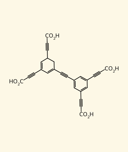 O=C(O)C#CC1=CC(C#CC(=O)O)CC(C#Cc2cc(C#CC(=O)O)cc(C#CC(=O)O)c2)=C1